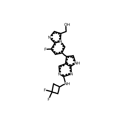 OCc1cnc2c(F)cc(-c3c[nH]c4nc(NC5CC(F)(F)C5)ncc34)cn12